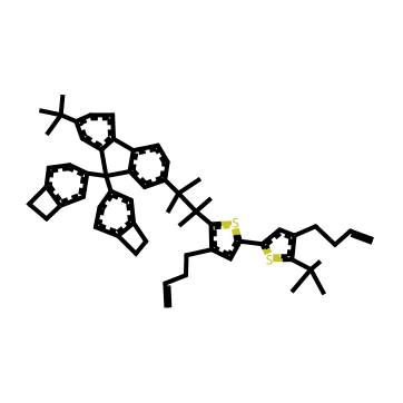 C=CCCc1cc(-c2cc(CCC=C)c(C(C)(C)C(C)(C)c3ccc4c(c3)C(c3ccc5c(c3)CC5)(c3ccc5c(c3)CC5)c3cc(C(C)(C)C)ccc3-4)s2)sc1C(C)(C)C